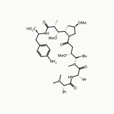 CC[C@H](C)[C@@H]([C@@H](CC(=O)N1C[C@H](OC)C[C@H]1[C@H](OC)[C@@H](C)C(=O)N[C@@H](Cc1ccc(N)cc1)C(=O)O)OC)N(C)C(=O)[C@@H](NC(=O)[C@H](C(C)C)N(C)C)C(C)C